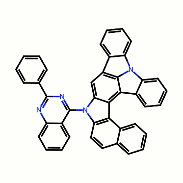 c1ccc(-c2nc(-n3c4ccc5ccccc5c4c4c5c6ccccc6n6c7ccccc7c(cc43)c56)c3ccccc3n2)cc1